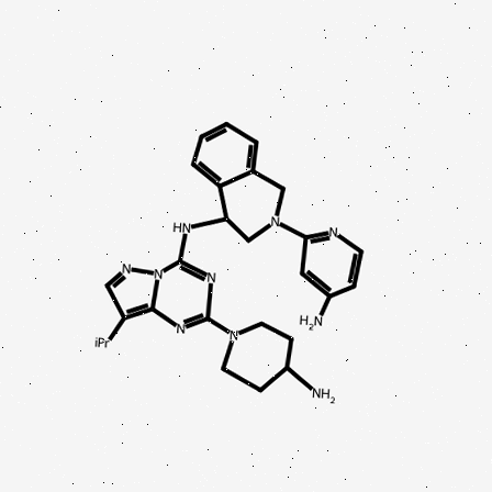 CC(C)c1cnn2c(NC3CN(c4cc(N)ccn4)Cc4ccccc43)nc(N3CCC(N)CC3)nc12